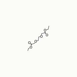 CCOC(=O)COCCOCC(=O)OCC